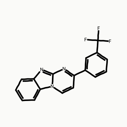 FC(F)(F)c1cccc(-c2ccn3c(n2)nc2ccccc23)c1